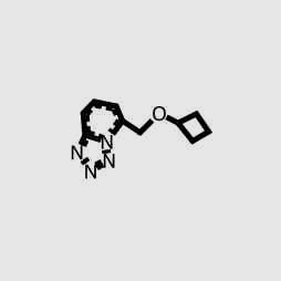 c1cc(COC2CCC2)n2nnnc2c1